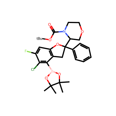 CC(C)(C)OC(=O)N1CCOCC1C1(c2ccccc2)Cc2c(cc(F)c(Cl)c2B2OC(C)(C)C(C)(C)O2)O1